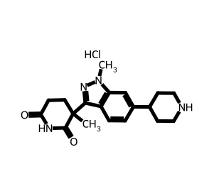 Cl.Cn1nc(C2(C)CCC(=O)NC2=O)c2ccc(C3CCNCC3)cc21